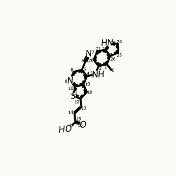 Cc1c(Nc2c(C#N)cnc3sc(C=CC(=O)O)cc23)ccc2[nH]ccc12